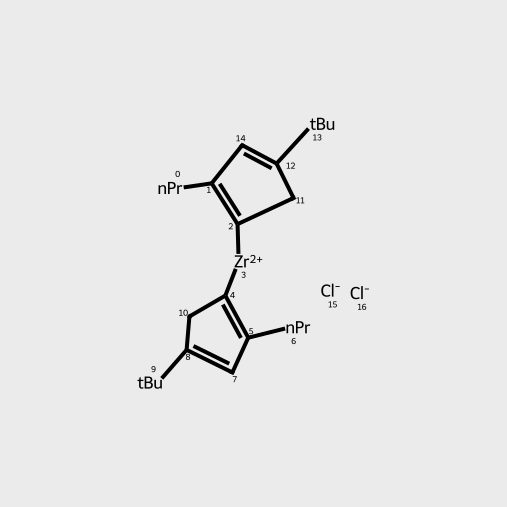 CCCC1=[C]([Zr+2][C]2=C(CCC)C=C(C(C)(C)C)C2)CC(C(C)(C)C)=C1.[Cl-].[Cl-]